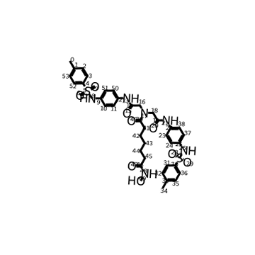 Cc1ccc(S(=O)(=O)Nc2ccc(NC(=O)CN(CC(=O)Nc3ccc(NS(=O)(=O)c4ccc(C)cc4)cc3)C(=O)CCCCCC(=O)NO)cc2)cc1